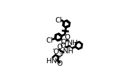 COC(=O)[C@H](C[C@@H]1CCNC1=O)NC(=O)[C@H](CC1CCCCC1)NC(=O)OC(c1ccc(Cl)cc1)C(C)(C)c1cccc(Cl)c1